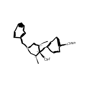 COc1ccc([C@@]2(O)[C@H](C)CN(Cc3ccccc3)C[C@@H]2C)cc1